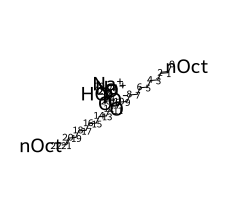 CCCCCCCCC=CCCCCCCCCOCCCCCCCCC=CCCCCCCCC.O=P([O-])([O-])O.[Na+].[Na+]